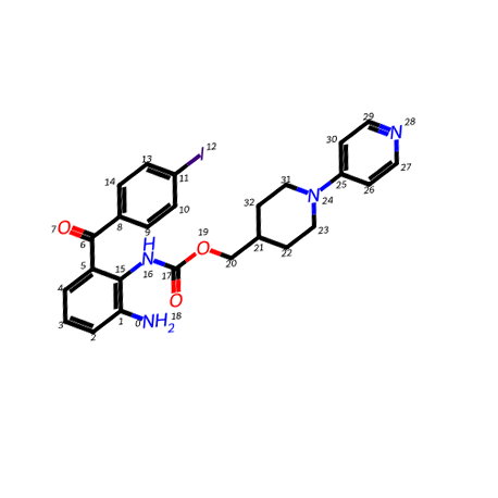 Nc1cccc(C(=O)c2ccc(I)cc2)c1NC(=O)OCC1CCN(c2ccncc2)CC1